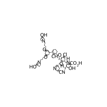 C[C@@H]1C(C2=C[C@H](OCCCN3CC[C@@H](O)C3)C[C@H](OCCCN3CC[C@@H](O)C3)C2)=CCCC1COC1=C[C@@H](OC[C@H]2C=NC[C@@H](C#N)C2)C(CN[C@@](C)(CO)C(=O)O)C[C@H]1Cl